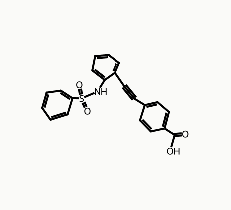 O=C(O)c1ccc(C#Cc2ccccc2NS(=O)(=O)c2ccccc2)cc1